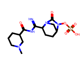 CN1CCCC(C(=O)NC(=N)C2CCC3CN2C(=O)N3OS(=O)(=O)O)C1